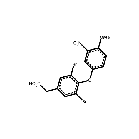 COc1ccc(Oc2c(Br)cc(CC(=O)O)cc2Br)cc1[N+](=O)[O-]